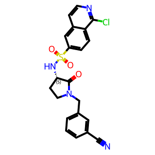 N#Cc1cccc(CN2CC[C@H](NS(=O)(=O)c3ccc4c(Cl)nccc4c3)C2=O)c1